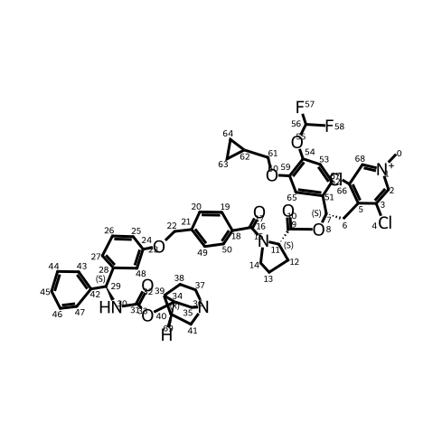 C[n+]1cc(Cl)c(C[C@H](OC(=O)[C@@H]2CCCN2C(=O)c2ccc(COc3cccc([C@@H](NC(=O)O[C@H]4CN5CCC4CC5)c4ccccc4)c3)cc2)c2ccc(OC(F)F)c(OCC3CC3)c2)c(Cl)c1